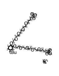 CC(C)(C)c1ccc(OCCOCCOCCOCCOCCCCS(=O)(=O)[O-])c(OCCOCCOCCOCCOCCCCS(=O)(=O)[O-])c1.[K+].[K+]